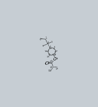 CCC(C)(C)c1ccc(OC(=O)C(C)C)cc1